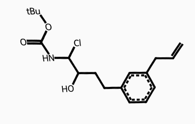 C=CCc1cccc(CCC(O)C(Cl)NC(=O)OC(C)(C)C)c1